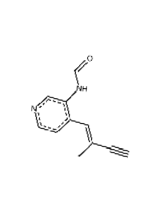 C#C/C(C)=C/c1ccncc1NC=O